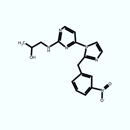 CC(O)CNc1nccc(-n2ccnc2Cc2cccc([N+](=O)[O-])c2)n1